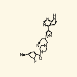 N#CCC(CN1CCN(C(=O)C2=CC=C(C#N)CC2F)CC1)n1cc(-c2ncnc3[nH]ccc23)cn1